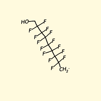 [CH2]C(F)(F)C(F)(F)C(F)(F)C(F)(F)C(F)(F)C(F)(F)C(F)(F)CO